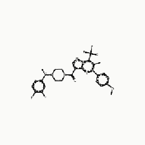 COc1ccc(-c2nc3c(C(=O)N4CCN([C@H](C)c5ccc(F)c(F)c5)CC4)cnn3c(C(F)(F)F)c2C)cc1